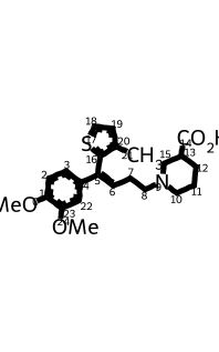 COc1ccc(C(=CCCN2CCCC(C(=O)O)C2)c2sccc2C)cc1OC